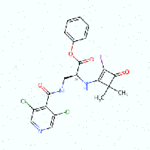 CC1(C)C(=O)C(I)=C1N[C@@H](CNC(=O)c1c(Cl)cncc1Cl)C(=O)Oc1ccccc1